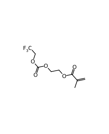 C=C(C)C(=O)OCCOC(=O)OCC(F)(F)F